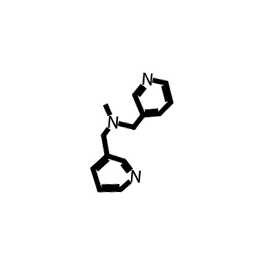 CN(Cc1cccnc1)Cc1cccnc1